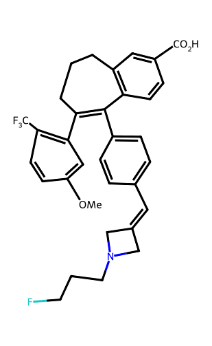 COc1ccc(C(F)(F)F)c(C2=C(c3ccc(C=C4CN(CCCF)C4)cc3)c3ccc(C(=O)O)cc3CCC2)c1